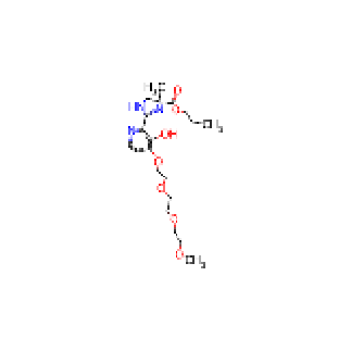 CCCOC(=O)C1(C)CNC(c2nccc(OCCOCCOCCOC)c2O)=N1